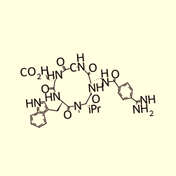 CC(C)[C@H]1C(=O)N[C@@H](CNC(=O)c2ccc(C(=N)N)cc2)C(=O)NCC(=O)N[C@@H](CC(=O)O)C(=O)N[C@H](Cc2c[nH]c3ccccc23)C(=O)N1C